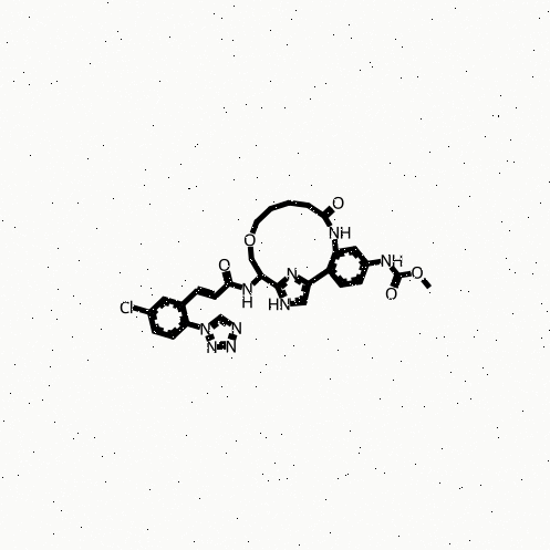 COC(=O)Nc1ccc2c(c1)NC(=O)CCCCOCC(NC(=O)/C=C/c1cc(Cl)ccc1-n1cnnn1)c1nc-2c[nH]1